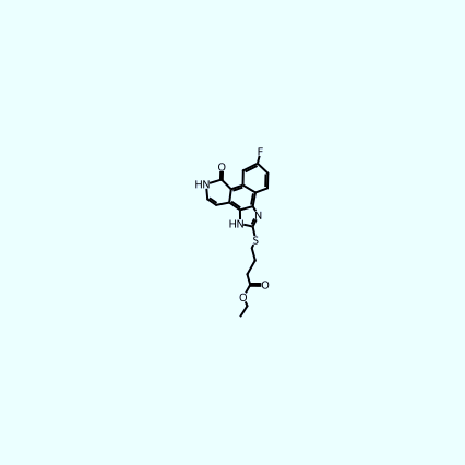 CCOC(=O)CCCSc1nc2c3ccc(F)cc3c3c(=O)[nH]ccc3c2[nH]1